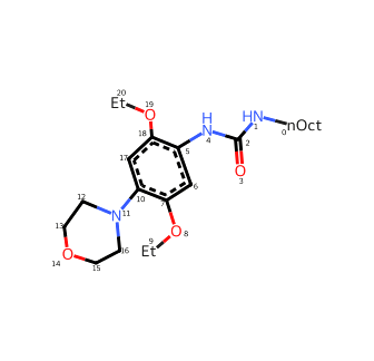 CCCCCCCCNC(=O)Nc1cc(OCC)c(N2CCOCC2)cc1OCC